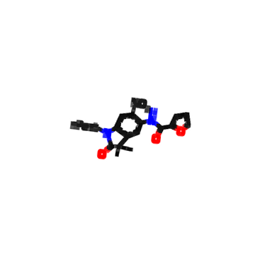 CCCCCN1C(=O)C(C)(C)c2cc(NC(=O)c3ccco3)c([N+](=O)[O-])cc21